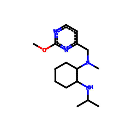 COc1nccc(CN(C)C2CCCCC2NC(C)C)n1